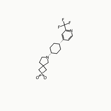 O=S1(=O)CC2(CCN([C@H]3CC[C@@H](c4ccnc(C(F)(F)F)c4)CC3)C2)C1